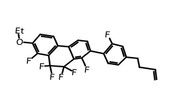 C=CCCc1ccc(-c2ccc3c(c2F)C(F)(F)C(F)(F)c2c-3ccc(OCC)c2F)c(F)c1